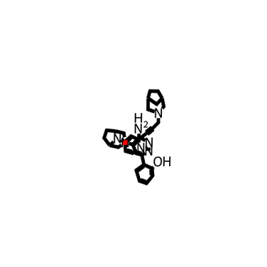 Nc1nnc(-c2ccccc2O)cc1N1CC2CCC(C1)N2c1ccnc(C#CCN2CC3CCC(C3)C2)c1